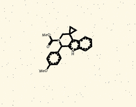 COC(=O)N1CC2(CC2)c2c([nH]c3ccccc23)C1c1ccc(OC)cc1